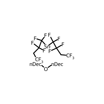 CCCCCCCCCCOCCCCCCCCCC.FC(F)(F)CC(F)(F)[C](F)(F)[Sn][C](F)(F)C(F)(F)CC(F)(F)F